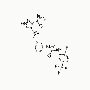 NC(=O)c1n[nH]cc1NCc1cccc(NC(=O)Nc2cc(C(F)(F)F)ccc2F)c1